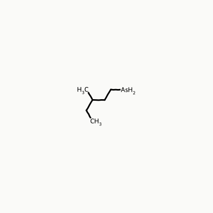 CCC(C)CC[AsH2]